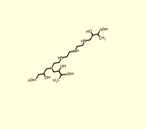 CCCCCCCCCCCC(O)CN(CCNCCNCCNCC(O)C(C)CCCCCCCCCC)CC(O)C(C)CCCCCCCCCC